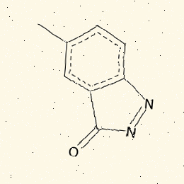 Cc1ccc2c(c1)C(=O)N=N2